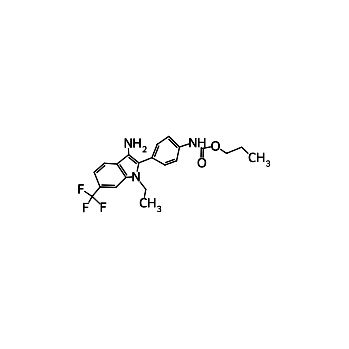 CCCOC(=O)Nc1ccc(-c2c(N)c3ccc(C(F)(F)F)cc3n2CC)cc1